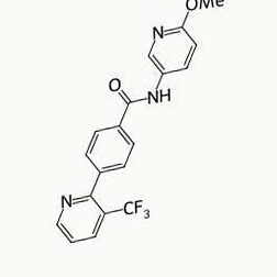 COc1ccc(NC(=O)c2ccc(-c3ncccc3C(F)(F)F)cc2)cn1